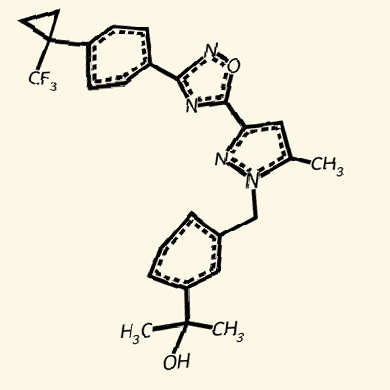 Cc1cc(-c2nc(-c3ccc(C4(C(F)(F)F)CC4)cc3)no2)nn1Cc1cccc(C(C)(C)O)c1